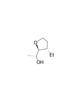 CC[C@H]1CCO[C@@H]1[C@@H](C)O